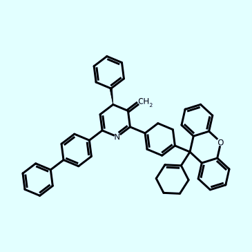 C=C1C(C2=CC=C(C3(C4=CCCCC4)c4ccccc4Oc4ccccc43)CC2)=NC(c2ccc(-c3ccccc3)cc2)=C[C@H]1c1ccccc1